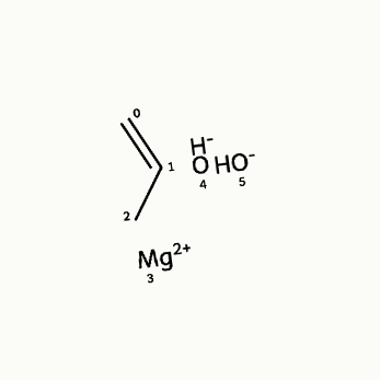 C=CC.[Mg+2].[OH-].[OH-]